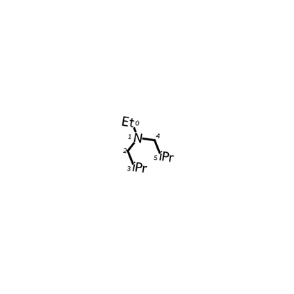 [CH2]CN(CC(C)C)CC(C)C